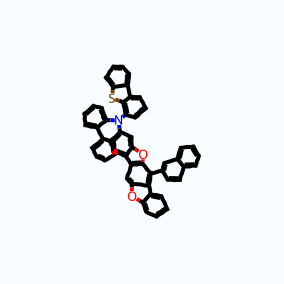 c1ccc(-c2ccccc2N(c2ccc3c(c2)oc2c(-c4ccc5ccccc5c4)c4c(cc23)oc2ccccc24)c2cccc3c2sc2ccccc23)cc1